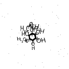 COC.CO[C@H]1[C@H](O)[C@@H](O)[C@@H](O)[C@H](O)[C@@H]1O